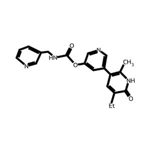 CCc1cc(-c2cncc(OC(=O)NCc3cccnc3)c2)c(C)[nH]c1=O